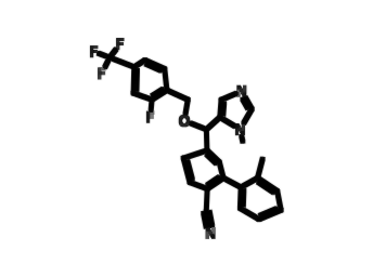 Cc1ccccc1-c1cc(C(OCc2ccc(C(F)(F)F)cc2F)c2cncn2C)ccc1C#N